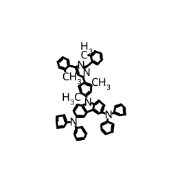 Cc1ccccc1-c1cc(-c2cc(C)c(-n3c4ccc(N(c5ccccc5)c5ccccc5)cc4c4cc(N(c5ccccc5)c5ccccc5)ccc43)cc2C)nc(-c2ccccc2C)n1